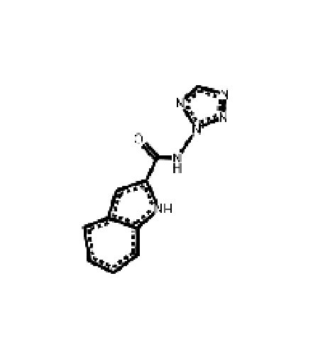 O=C(Nn1ncnn1)c1cc2ccccc2[nH]1